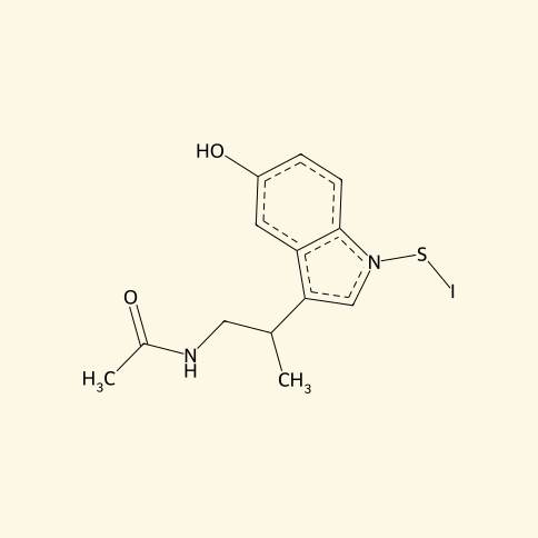 CC(=O)NCC(C)c1cn(SI)c2ccc(O)cc12